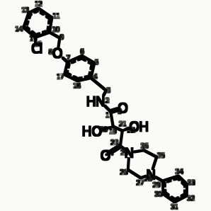 O=C(NCc1ccc(OCc2ccccc2Cl)cc1)[C@H](O)[C@@H](O)C(=O)N1CCN(c2ccccc2)CC1